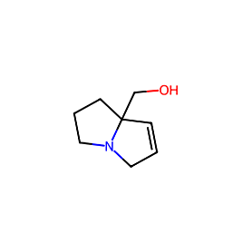 OCC12C=CCN1CCC2